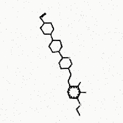 C=CC1CCC(C2CCC(C3CCC(CCc4ccc(OCC)c(F)c4F)CO3)CC2)CC1